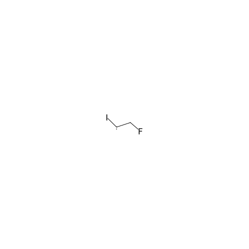 FC[CH]I